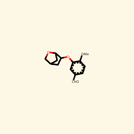 COc1ccc(C=O)cc1OC1CC2COC1C2